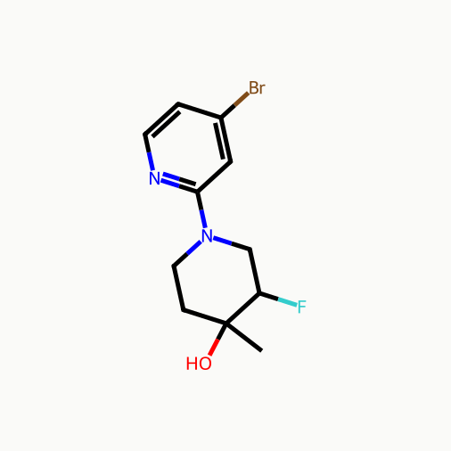 CC1(O)CCN(c2cc(Br)ccn2)CC1F